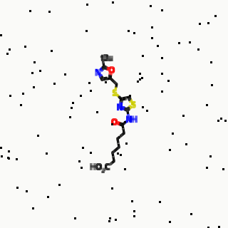 CC(C)(C)c1ncc(CSc2csc(NC(=O)CCCCCC(=O)O)n2)o1